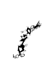 O=C(O)c1ccc(-c2cnn(-c3ccc(OC(F)(F)F)cc3)c2)cc1